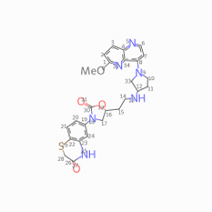 COc1ccc2nccc(N3CCC(NCCC4CN(c5ccc6c(c5)NC(=O)CS6)C(=O)O4)C3)c2n1